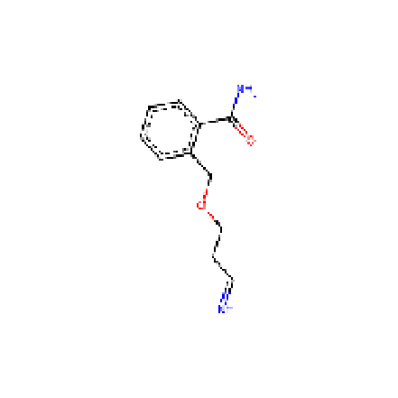 N=[C]CCOCc1ccccc1C(N)=O